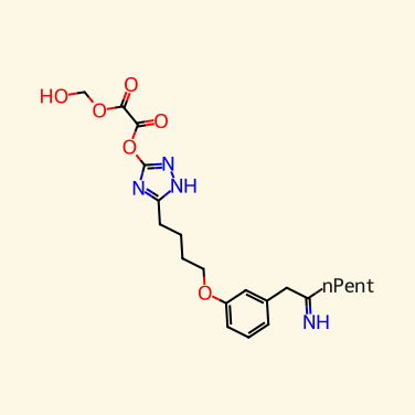 CCCCCC(=N)Cc1cccc(OCCCCc2nc(OC(=O)C(=O)OCO)n[nH]2)c1